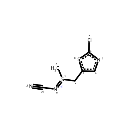 C/S(Cc1cnc(Cl)s1)=N\C#N